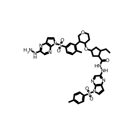 CCC1CC(OC2CCOCC2c2cc(S(=O)(=O)n3ccc4nc(NN)cnc43)ccc2C)CC1C(=O)NNc1cnc2c(ccn2S(=O)(=O)c2ccc(C)cc2)n1